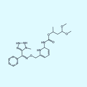 COC(CC(C)OC(=O)NC1C=CC=C(CO/N=C(\C2=NNNN2C)c2ccccc2)N1)OC